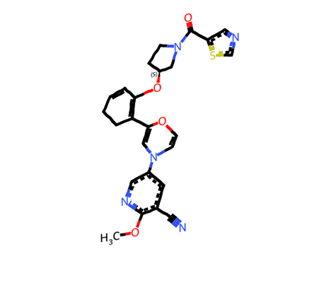 COc1ncc(N2C=COC(C3=C(O[C@H]4CCN(C(=O)c5cncs5)C4)C=CCC3)=C2)cc1C#N